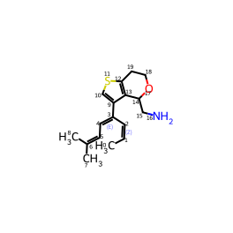 C/C=C\C(=C/C=C(C)C)c1csc2c1C(CN)OCC2